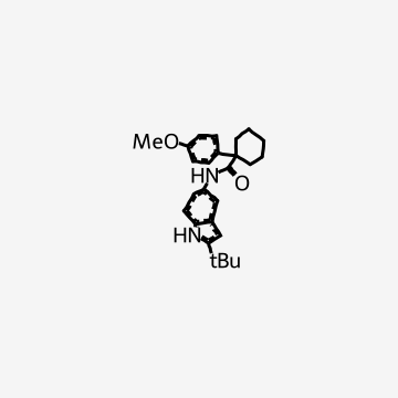 COc1ccc(C2(C(=O)Nc3ccc4[nH]c(C(C)(C)C)cc4c3)CCCCC2)cc1